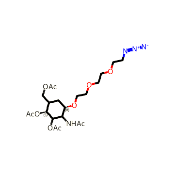 CC(=O)NC1C(OC(C)=O)[C@@H](OC(C)=O)C(COC(C)=O)C[C@H]1OCCOCCOCCN=[N+]=[N-]